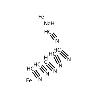 C#N.C#N.C#N.C#N.C#N.C#N.[Fe].[Fe].[NaH]